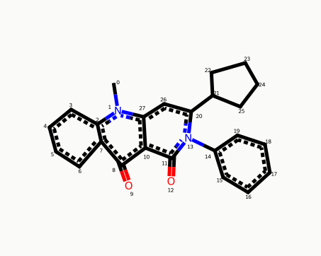 Cn1c2ccccc2c(=O)c2c(=O)n(-c3ccccc3)c(C3CCCC3)cc21